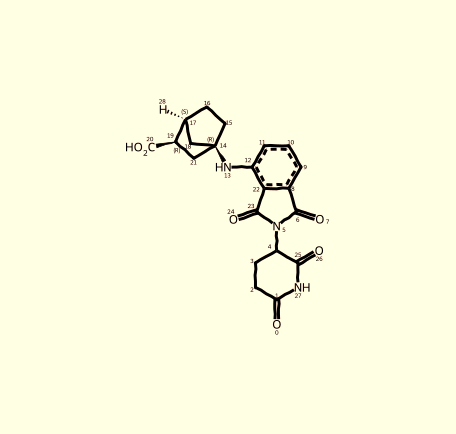 O=C1CCC(N2C(=O)c3cccc(N[C@]45CC[C@@H](C4)[C@H](C(=O)O)C5)c3C2=O)C(=O)N1